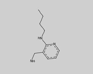 CCCCNc1ncccc1C[NH]